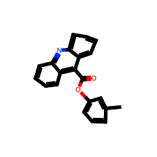 Cc1cccc(OC(=O)c2c3ccccc3nc3ccccc23)c1